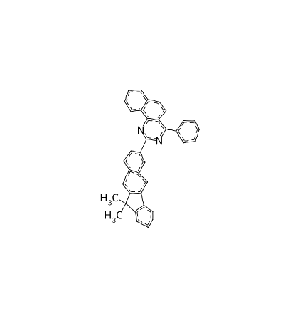 CC1(C)c2ccccc2-c2cc3cc(-c4nc(-c5ccccc5)c5ccc6ccccc6c5n4)ccc3cc21